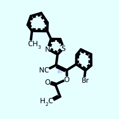 C=CC(=O)O/C(=C(\C#N)c1nc(-c2ccccc2C)cs1)c1ccccc1Br